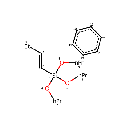 CCC=C[Si](OCCC)(OCCC)OCCC.c1ccccc1